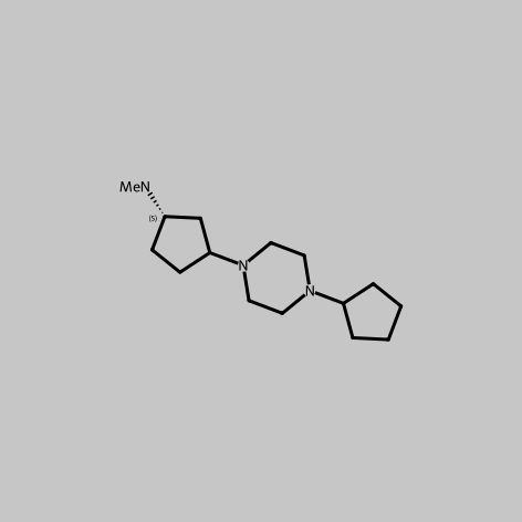 CN[C@H]1CCC(N2CCN(C3CCCC3)CC2)C1